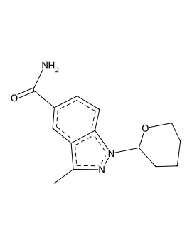 Cc1nn(C2CCCCO2)c2ccc(C(N)=O)cc12